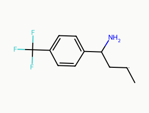 C[CH]CC(N)c1ccc(C(F)(F)F)cc1